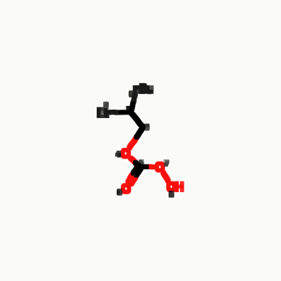 CCCCC(CC)COC(=O)OO